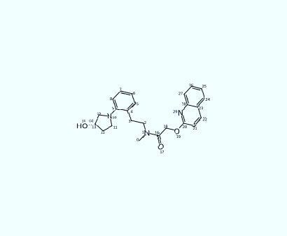 CN(CCc1ccccc1N1CC[C@H](O)C1)C(=O)COc1ccc2ccccc2n1